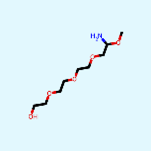 COC(N)COCCOCCOCCO